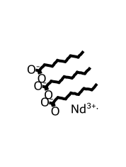 CCCCCCCC(=O)[O-].CCCCCCCC(=O)[O-].CCCCCCCC(=O)[O-].[Nd+3]